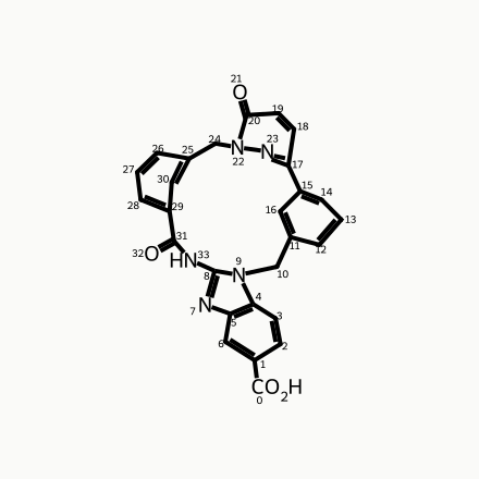 O=C(O)c1ccc2c(c1)nc1n2Cc2cccc(c2)-c2ccc(=O)n(n2)Cc2cccc(c2)C(=O)N1